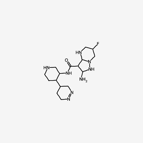 NC1NN2CC(F)CNC2C1C(=O)NC1CNCCC1C1CCN=NC1